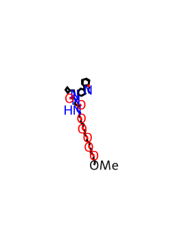 COCCOCCOCCOCCOCCOCCNC(=O)CN1C[C@]2(CC[C@@](c3ccccc3)(N(C)C)CC2)N(CC2CCC2)C1=O